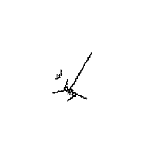 CCCCCCCCCCCCCCCCCCCCCCCCCCCC1=C(c2cc(CCCCC)cc(CCCCCCCC)c2)[N+](=[N-])C(c2cc(CCCCC)cc(CCCCCCCC)c2)=C1.CCC[CH2][Ni][CH2]CCC